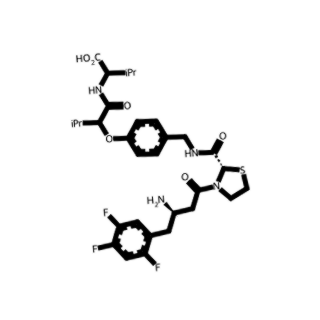 CC(C)C(NC(=O)C(Oc1ccc(CNC(=O)[C@@H]2SCCN2C(=O)C[C@H](N)Cc2cc(F)c(F)cc2F)cc1)C(C)C)C(=O)O